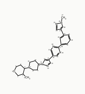 CC1COCCC1N1CCC(n2cc(-c3cnc(-c4cccc(-c5cnn(C)c5)c4)nc3)cn2)CC1